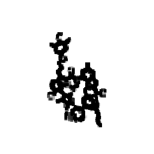 CCCCCOC(=O)c1cc2cc(C)cc(N3C[C@@H](C)n4c(c(CCCOc5cc(C)c(Cl)c(C)c5)c5ccc(Cl)c(-c6c(C)nn(C)c6C)c54)C3=O)c2n1Cc1cc(N2CCNCC2)ccn1